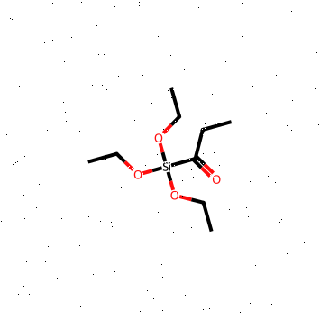 CCO[Si](OCC)(OCC)C(=O)CC